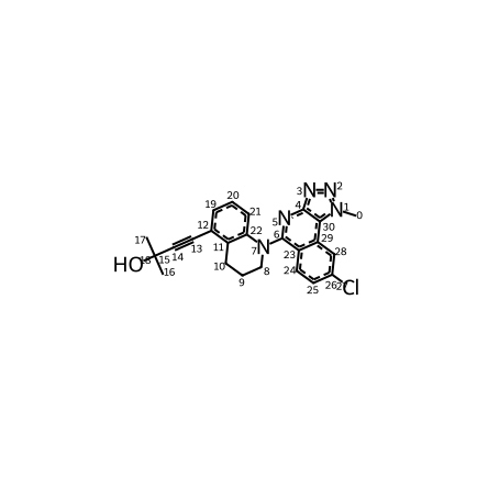 Cn1nnc2nc(N3CCCc4c(C#CC(C)(C)O)cccc43)c3ccc(Cl)cc3c21